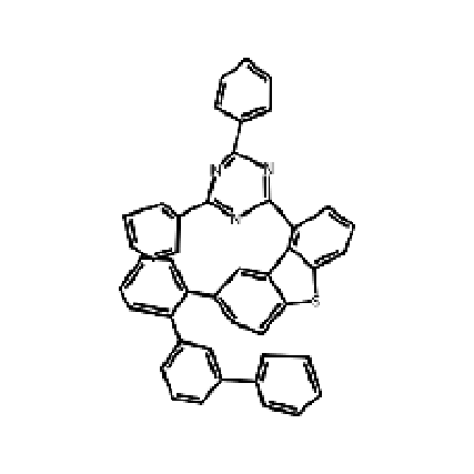 c1ccc(-c2cccc(-c3ccccc3-c3ccc4sc5cccc(-c6nc(-c7ccccc7)nc(-c7ccccc7)n6)c5c4c3)c2)cc1